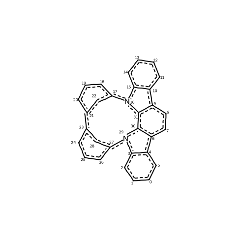 c1ccc2c(c1)c1ccc3c4ccccc4n4c5cccc(c5)c5cccc(c5)n2c1c34